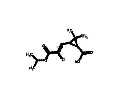 CC(C)OC(=O)/C(Cl)=C/C1C(C(=O)O)C1(C)C